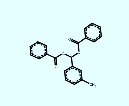 Cc1cccc(C(OC(=O)c2ccccc2)OC(=O)c2ccccc2)c1